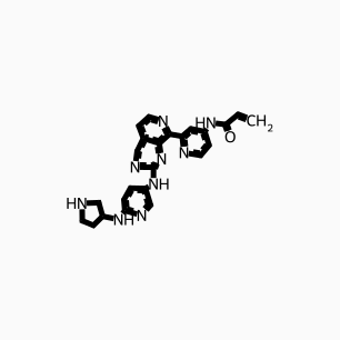 C=CC(=O)Nc1ccnc(-c2nccc3cnc(Nc4ccc(NC5CCNC5)nc4)nc23)c1